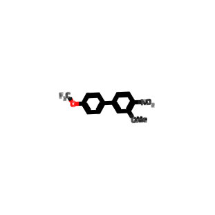 COc1cc(-c2ccc(OC(F)(F)F)cc2)ccc1[N+](=O)[O-]